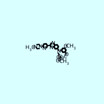 COc1cc(OC)cc(N(CCOS(C)(=O)=O)c2ccc3ncc(-c4ccc(N5CCN(C)CC5)nc4)nc3c2)c1